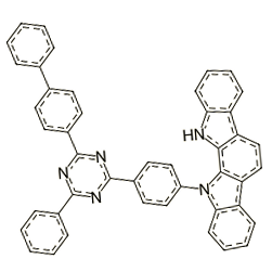 c1ccc(-c2ccc(-c3nc(-c4ccccc4)nc(-c4ccc(-n5c6ccccc6c6ccc7c8ccccc8[nH]c7c65)cc4)n3)cc2)cc1